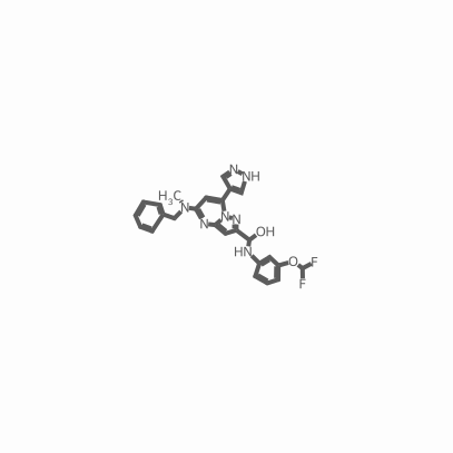 CN(Cc1ccccc1)c1cc(-c2cn[nH]c2)n2nc(C(O)Nc3cccc(OC(F)F)c3)cc2n1